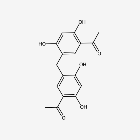 CC(=O)c1cc(Cc2cc(C(C)=O)c(O)cc2O)c(O)cc1O